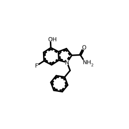 NC(=O)c1cc2c(O)cc(F)cc2n1Cc1ccccc1